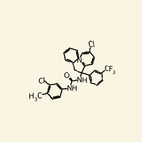 Cc1ccc(NC(=O)NC(Cc2ccccc2)(c2cccc(C(F)(F)F)c2)c2ccc(Cl)cn2)cc1Cl